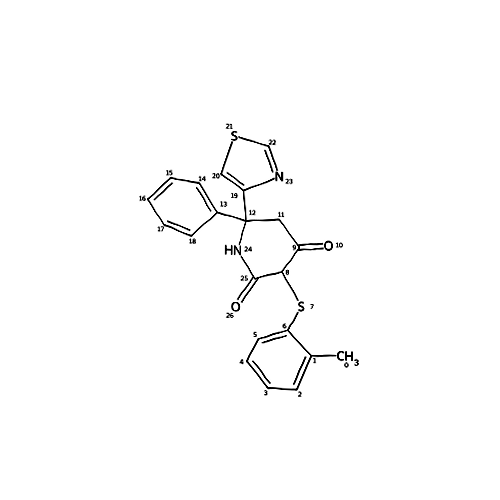 Cc1ccccc1SC1C(=O)CC(c2ccccc2)(c2cscn2)NC1=O